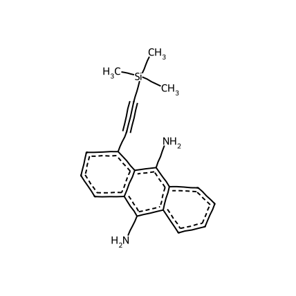 C[Si](C)(C)C#Cc1cccc2c(N)c3ccccc3c(N)c12